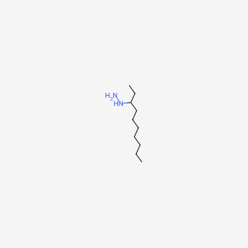 CCCCCCCC(CC)NN